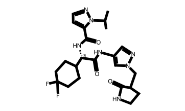 CC(C)n1nccc1C(=O)N[C@H](C(=O)Nc1cnn(CC2CCNC2=O)c1)C1CCC(F)(F)CC1